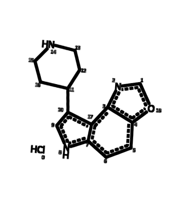 Cl.c1nc2c(ccc3[nH]cc(C4CCNCC4)c32)o1